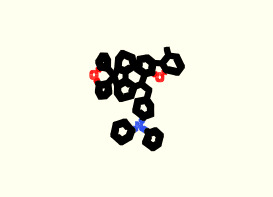 CC1C=CC=C2Oc3c(C(Cc4ccc(N(c5ccccc5)c5ccccc5)cc4)c4cccc5c4-c4ccccc4C54c5ccccc5Oc5ccccc54)cccc3C21